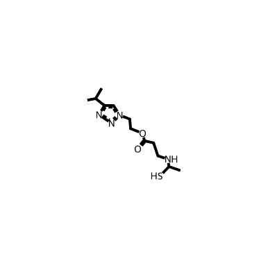 CC(S)NCCC(=O)OCCn1cc(C(C)C)nn1